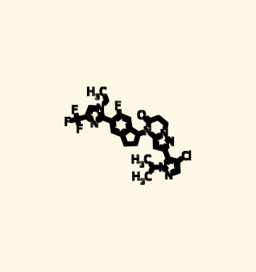 CCn1cc(C(F)(F)F)nc1-c1cc2c(cc1F)C(N1C(=O)CCn3nc(-c4c(Cl)cnn4C(C)C)cc31)CC2